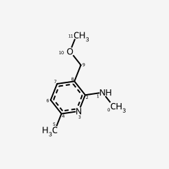 CNc1nc(C)ccc1COC